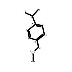 [CH2]OCc1ccc(C(C)C)cc1